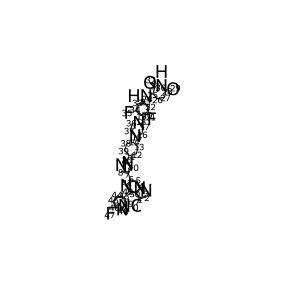 N#Cc1cnn2cc(-c3cnn([C@H]4CC[C@H](N5CCN(c6c(F)cc(NC7CCC(=O)NC7=O)cc6F)CC5)CC4)c3)nc(-c3ccc(F)nc3)c12